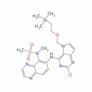 CN(c1c(Nc2nc(Cl)nc3ccn(COCC[Si](C)(C)C)c23)ccc2nccnc12)S(C)(=O)=O